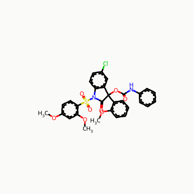 COc1ccc(S(=O)(=O)N2C(=O)C(OC(=O)Nc3ccccc3)(c3ccccc3OC)c3cc(Cl)ccc32)c(OC)c1